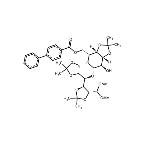 COC(OC)[C@@H]1OC(C)(C)O[C@H]1[C@H](O[C@@H]1O[C@H](COC(=O)c2ccc(-c3ccccc3)cc2)[C@@H]2OC(C)(C)O[C@@H]2[C@H]1O)[C@H]1COC(C)(C)O1